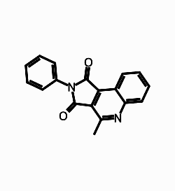 Cc1nc2ccccc2c2c1C(=O)N(c1ccccc1)C2=O